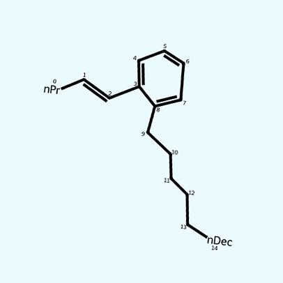 CCCC=Cc1ccccc1CCCCCCCCCCCCCCC